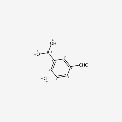 Cl.O=Cc1cccc(B(O)O)c1